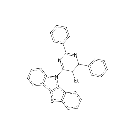 CCC1C(n2c3ccccc3c3sc4ccccc4c32)=NC(c2ccccc2)=NC1c1ccccc1